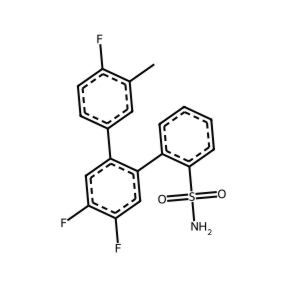 Cc1cc(-c2cc(F)c(F)cc2-c2ccccc2S(N)(=O)=O)ccc1F